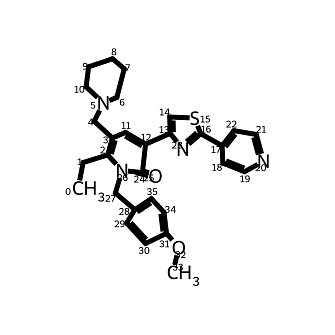 CCc1c(CN2CCCCC2)cc(-c2csc(-c3ccncc3)n2)c(=O)n1Cc1ccc(OC)cc1